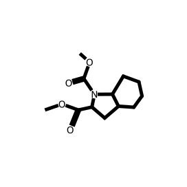 COC(=O)C1CC2CCCCC2N1C(=O)OC